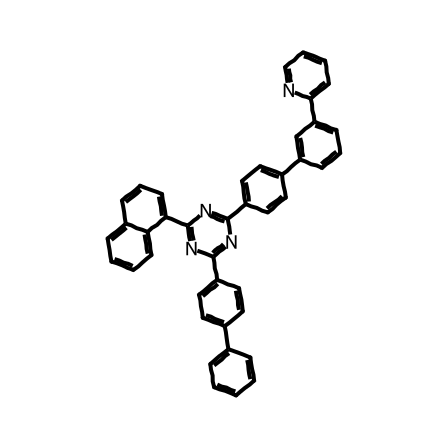 c1ccc(-c2ccc(-c3nc(-c4ccc(-c5cccc(-c6ccccn6)c5)cc4)nc(-c4cccc5ccccc45)n3)cc2)cc1